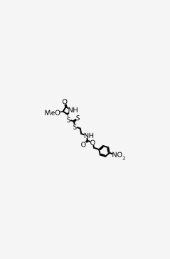 CO[C@H]1C(=O)N[C@@H]1SC(=S)SCCNC(=O)OCc1ccc([N+](=O)[O-])cc1